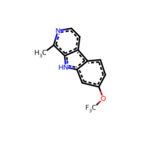 Cc1nccc2c1[nH]c1cc(OC(F)(F)F)ccc12